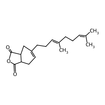 CC(C)=CCC/C(C)=C/CCC1=CCC2C(=O)OC(=O)C2C1